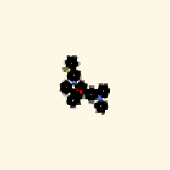 c1ccc(-n2c3ccccc3c3cc(-c4ccc(N(c5ccc6c(c5)sc5ccccc56)c5ccccc5-c5cccc6ccccc56)cc4)ccc32)cc1